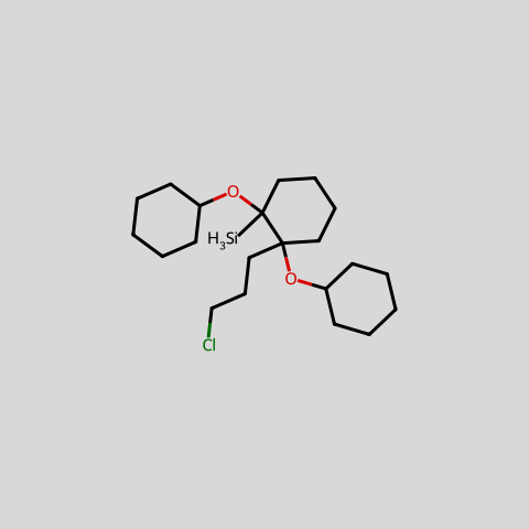 [SiH3]C1(OC2CCCCC2)CCCCC1(CCCCl)OC1CCCCC1